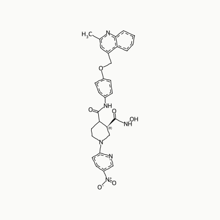 Cc1cc(COc2ccc(NC(=O)C3CCN(c4ccc([N+](=O)[O-])cn4)C[C@@H]3C(=O)NO)cc2)c2ccccc2n1